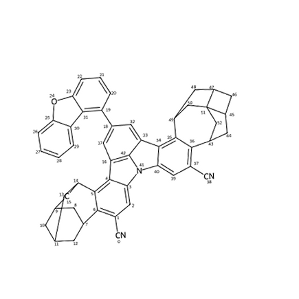 N#Cc1cc2c(c3c1C1CC4CC(C1)CC3C4)c1cc(-c3cccc4oc5ccccc5c34)cc3c4c5c(c(C#N)cc4n2c13)C1CC2CC3CC5CC23C1